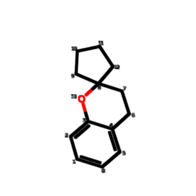 c1ccc2c(c1)CCC1(CCCC1)O2